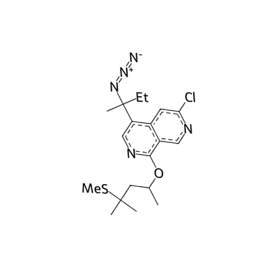 CCC(C)(N=[N+]=[N-])c1cnc(OC(C)CC(C)(C)SC)c2cnc(Cl)cc12